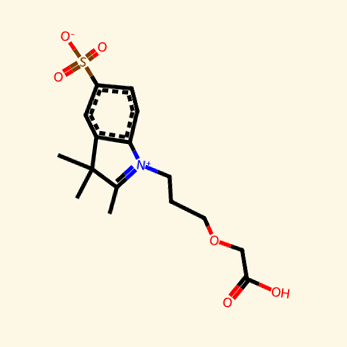 CC1=[N+](CCCOCC(=O)O)c2ccc(S(=O)(=O)[O-])cc2C1(C)C